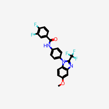 COc1ccc2c(c1)nc(C(F)(F)F)n2-c1ccc(NC(=O)c2ccc(F)c(F)c2)cc1